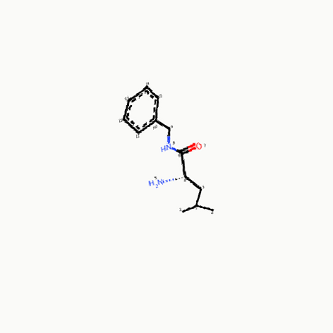 CC(C)C[C@H](N)C(=O)NCc1cc[c]cc1